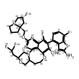 N#Cc1c(N)sc2c(F)ccc(-c3c(Cl)c4c5c(nc(OC[C@@]67CCCN6C[C@H](F)C7)nc5c3F)N3CC(CC(F)F)OCC3CCO4)c12